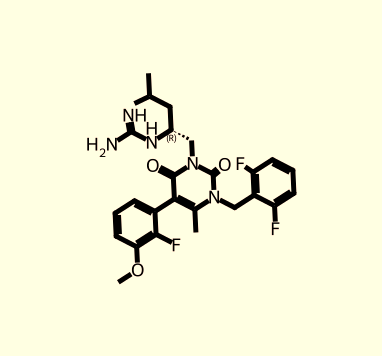 COc1cccc(-c2c(C)n(Cc3c(F)cccc3F)c(=O)n(C[C@@H](CC(C)C)NC(=N)N)c2=O)c1F